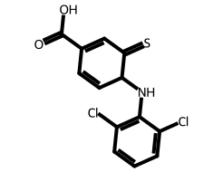 O=C(O)C1=CC(=S)C(Nc2c(Cl)cccc2Cl)C=C1